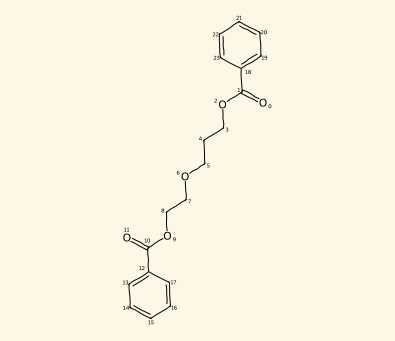 O=C(OCCCOCCOC(=O)c1ccccc1)c1ccccc1